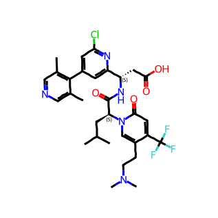 Cc1cncc(C)c1-c1cc(Cl)nc([C@H](CC(=O)O)NC(=O)[C@H](CC(C)C)n2cc(CCN(C)C)c(C(F)(F)F)cc2=O)c1